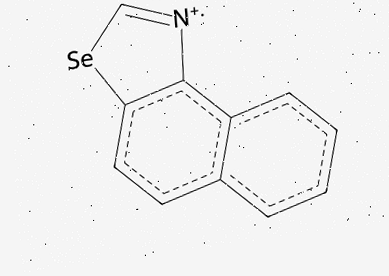 C1=[N+]c2c(ccc3ccccc23)[Se]1